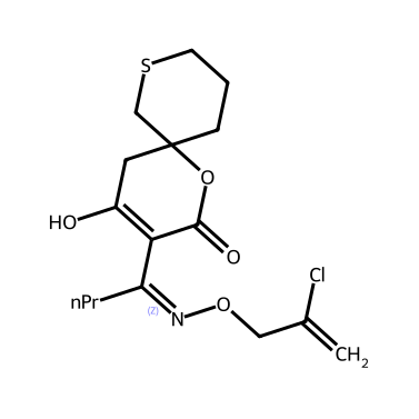 C=C(Cl)CO/N=C(/CCC)C1=C(O)CC2(CCCSC2)OC1=O